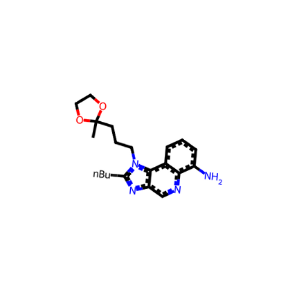 CCCCc1nc2cnc3c(N)cccc3c2n1CCCC1(C)OCCO1